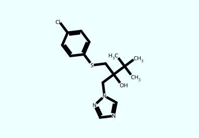 CC(C)(C)C(O)(CSc1ccc(Cl)cc1)Cn1cncn1